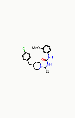 CCC(NC(=O)Nc1cccc(OC)c1)N1CCC(Cc2ccc(Cl)cc2)CC1